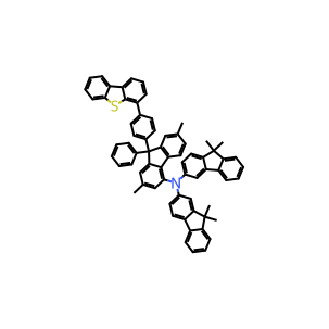 Cc1ccc2c(c1)C(c1ccccc1)(c1ccc(-c3cccc4c3sc3ccccc34)cc1)c1cc(C)cc(N(c3ccc4c(c3)-c3ccccc3C4(C)C)c3ccc4c(c3)C(C)(C)c3ccccc3-4)c1-2